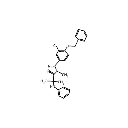 Cn1c(-c2ccc(OCc3ccccc3)c(Cl)c2)nnc1C(C)(C)Nc1ccccc1